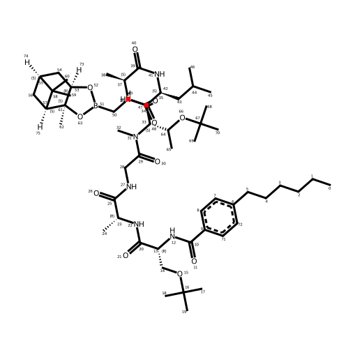 CCCCCCc1ccc(C(=O)N[C@H](COC(C)(C)C)C(=O)N[C@H](C)C(=O)NCC(=O)N(C)[C@H](C(=O)N[C@@H](C)C(=O)N[C@@H](CC(C)C)C(=O)NCB2O[C@@H]3C[C@@H]4C[C@@H](C4(C)C)[C@]3(C)O2)C(C)OC(C)(C)C)cc1